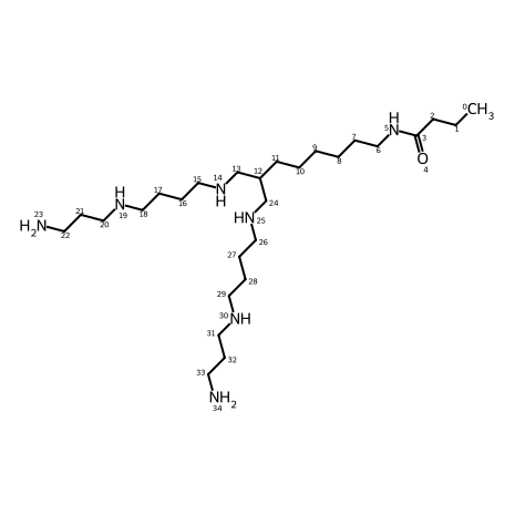 CCCC(=O)NCCCCCCC(CNCCCCNCCCN)CNCCCCNCCCN